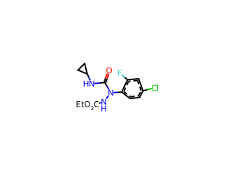 CCOC(=O)NN(C(=O)NC1CC1)c1ccc(Cl)cc1F